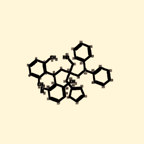 Cc1cccc(C)c1P(CC(CO)(CC1=CC=CC1)CP(c1ccccc1)c1ccccc1)c1c(C)cccc1C